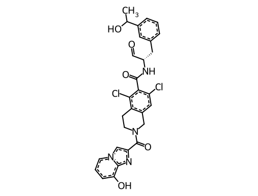 CC(O)c1cccc(C[C@@H](C=O)NC(=O)c2c(Cl)cc3c(c2Cl)CCN(C(=O)c2cn4cccc(O)c4n2)C3)c1